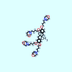 C[C@H](Cc1ccc(OCCCCN2CCOCC2)c(OCCCCN2CCCOC2)c1)[C@@H](C)Cc1ccc(OCCCCN2CCOCC2)c(OCCCCN2CCOCC2)c1